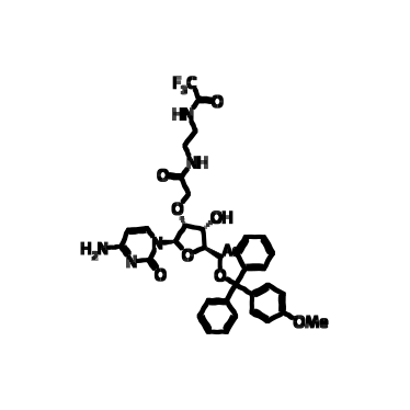 COc1ccc(C(OC(C(C)=O)[C@H]2O[C@@H](n3ccc(N)nc3=O)[C@H](OCC(=O)NCCNC(=O)C(F)(F)F)[C@@H]2O)(c2ccccc2)c2ccccc2)cc1